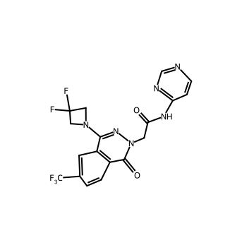 O=C(Cn1nc(N2CC(F)(F)C2)c2cc(C(F)(F)F)ccc2c1=O)Nc1ccncn1